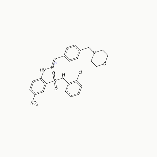 O=[N+]([O-])c1ccc(N/N=C/c2ccc(CN3CCOCC3)cc2)c(S(=O)(=O)Nc2ccccc2Cl)c1